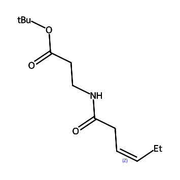 CC/C=C\CC(=O)NCCC(=O)OC(C)(C)C